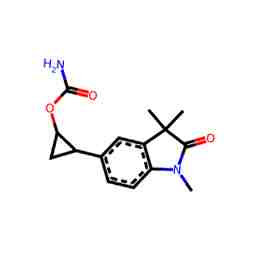 CN1C(=O)C(C)(C)c2cc(C3CC3OC(N)=O)ccc21